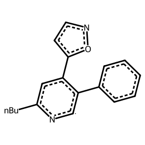 CCCCc1cc(-c2ccno2)c(-c2ccccc2)[c]n1